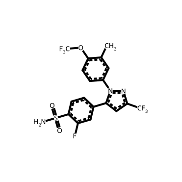 Cc1cc(-n2nc(C(F)(F)F)cc2-c2ccc(S(N)(=O)=O)c(F)c2)ccc1OC(F)(F)F